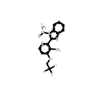 Cc1c(OCC(F)(F)F)ccnc1-c1nc2ccccc2n1[S@@+](C)[O-]